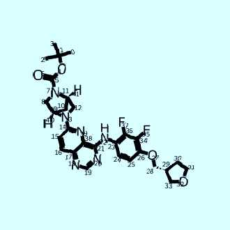 CC(C)(C)OC(=O)N1C[C@@H]2C[C@H]1CN2c1ccc2ncnc(Nc3ccc(OC[C@@H]4CCOC4)c(F)c3F)c2n1